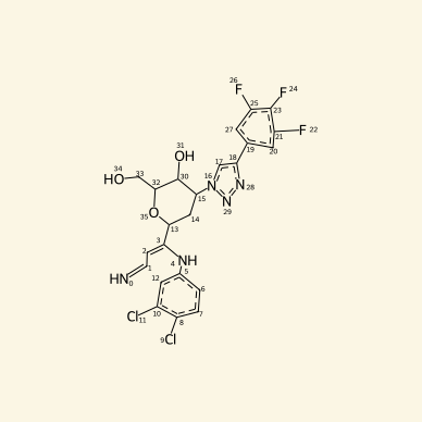 N=C/C=C(\Nc1ccc(Cl)c(Cl)c1)C1CC(n2cc(-c3cc(F)c(F)c(F)c3)nn2)C(O)C(CO)O1